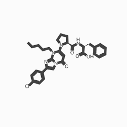 CCCCCn1c(N2CCC[C@H]2C(=O)N[C@H](Cc2ccccc2)C(=O)O)cc(=O)n2cc(-c3ccc(Cl)cc3)nc12